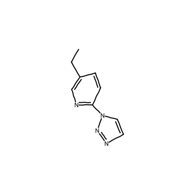 CCc1ccc(-n2ccnn2)nc1